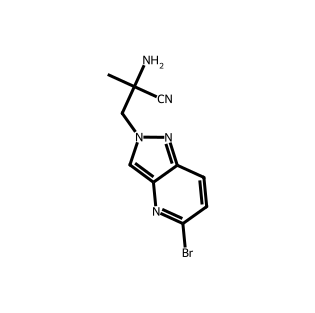 CC(N)(C#N)Cn1cc2nc(Br)ccc2n1